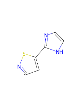 [c]1cc(-c2ncc[nH]2)sn1